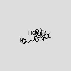 Cc1c(C)c(C)c2c(nc(-c3oc(CCCc4ccncc4)cc3P(=O)(O)O)n2CC(C)C)c1C